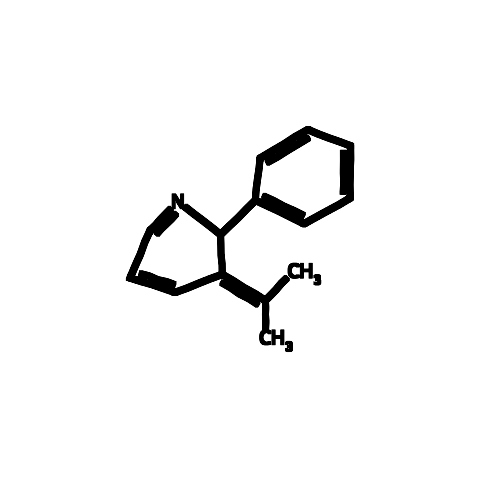 CC(C)=C1C=CC=NC1c1ccccc1